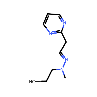 CN(CCC#N)/N=C/Cc1ncccn1